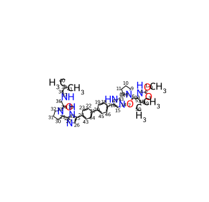 COC(=O)N[C@H](C(=O)N1CCC[C@H]1c1ncc(-c2ccc(-c3ccc(-c4cnc(C5CCCN5C(=O)CNCC(C)C)[nH]4)cc3)cc2)[nH]1)C(C)C